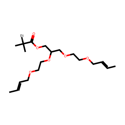 C/C=C/COCCOCC(COC(=O)C(C)(C)CC)OCCOC/C=C/C